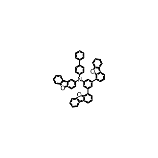 c1ccc(-c2ccc(N(c3cc(-c4cccc5c4oc4ccccc45)cc(-c4cccc5c4oc4ccccc45)c3)c3ccc4oc5ccccc5c4c3)cc2)cc1